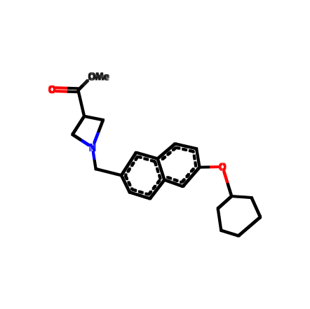 COC(=O)C1CN(Cc2ccc3cc(OC4CCCCC4)ccc3c2)C1